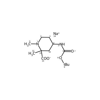 CN1CCC(NC(=O)OC(C)(C)C)CC1(C)C(=O)[O-].[Na+]